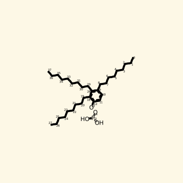 CCCCCCCCCc1ccc(OOP(O)O)c(CCCCCCCCC)c1CCCCCCCCC